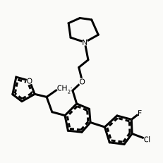 [CH2]C(Cc1ccc(-c2ccc(Cl)c(F)c2)cc1COCCN1CCCCC1)c1ccco1